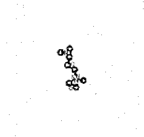 c1ccc(-c2nc(-c3ccc4oc5c(-c6ccc7c8ccccc8n(-c8ccccc8)c7c6)cccc5c4c3)nc(-c3cccc4oc5ccccc5c34)n2)cc1